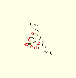 CCCCCCCCCCCC.O=C(O)CC(C(=O)O)S(=O)(=O)O